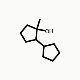 CC1(O)CCCC1C1CCCC1